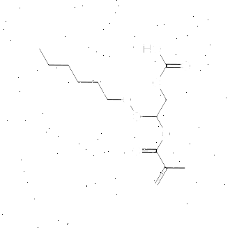 C=C(C)C(=O)OC(COC(=O)O)OOCCCCCC